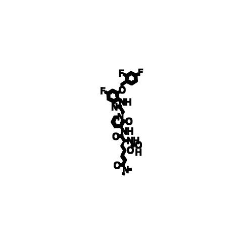 CN(C)C(=O)/C=C/CC[C@H](NC(=O)O)C(=O)Nc1cccn(Cc2nc3cc(F)cc(OCc4ccc(F)cc4F)c3[nH]2)c1=O